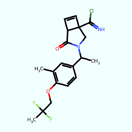 Cc1cc(C(C)N2CC3(C(=N)Cl)C=CC3C2=O)ccc1OCC(C)(F)F